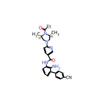 CCC(=O)N1[C@H](C)CN(c2ccc(C(=O)Nc3cccc(-c4ccc(C#N)cc4)c3N)cn2)C[C@@H]1C